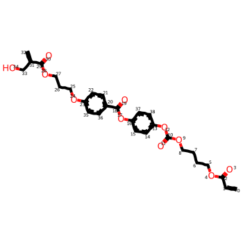 C=CC(=O)OCCCCOC(=O)Oc1ccc(OC(=O)c2ccc(OCCCOC(=O)C(=C)CO)cc2)cc1